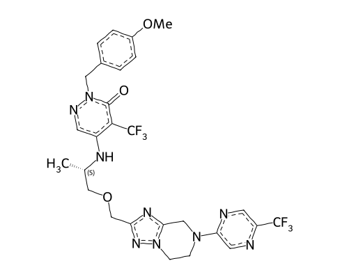 COc1ccc(Cn2ncc(N[C@@H](C)COCc3nc4n(n3)CCN(c3cnc(C(F)(F)F)cn3)C4)c(C(F)(F)F)c2=O)cc1